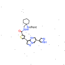 CCCCCNC1(CNC(=O)c2cc(-c3cnn4cc(-c5cn[nH]c5)cnc34)cs2)CCCCC1